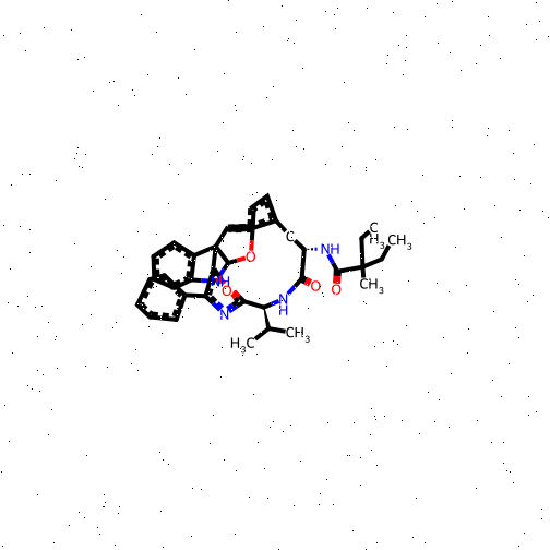 CCC(C)(CC)C(=O)N[C@H]1Cc2ccc3c(c2)C2(c4ccccc4NC2O3)c2oc(nc2-c2ccccc2)[C@H](C(C)C)NC1=O